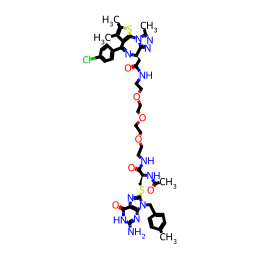 CC(=O)N[C@@H](CSc1nc2c(=O)[nH]c(N)nc2n1Cc1ccc(C)cc1)C(=O)NCCOCCOCCOCCNC(=O)C[C@@H]1N=C(c2ccc(Cl)cc2)c2c(sc(C)c2C)-n2c(C)nnc21